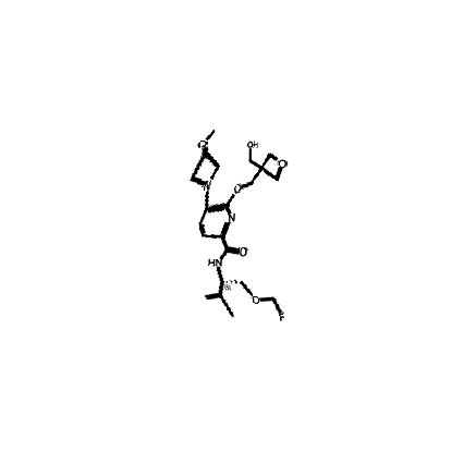 COC1CN(c2ccc(C(=O)N[C@H](COCF)C(C)C)nc2OCC2(CO)COC2)C1